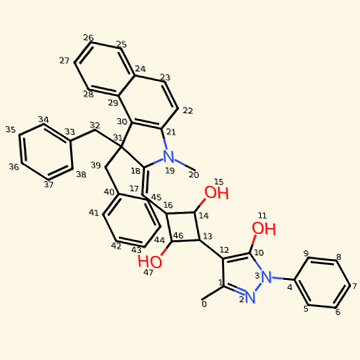 Cc1nn(-c2ccccc2)c(O)c1C1C(O)C(C=C2N(C)c3ccc4ccccc4c3C2(Cc2ccccc2)Cc2ccccc2)C1O